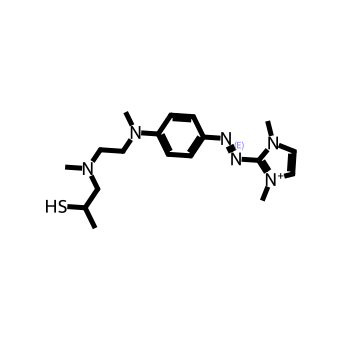 CC(S)CN(C)CCN(C)c1ccc(/N=N/c2n(C)cc[n+]2C)cc1